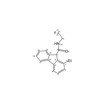 CCc1cccc2c1C(C(=O)NCC(F)(F)F)c1ccccc1-2